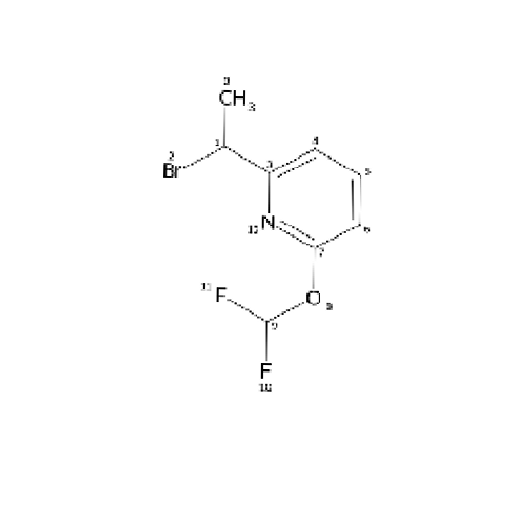 CC(Br)c1cccc(OC(F)F)n1